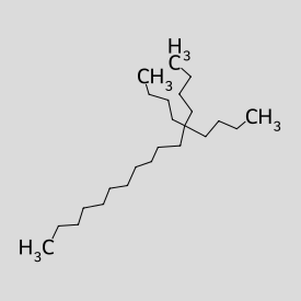 CCCCCCCCCCCC(CCCC)(CCCC)CCCC